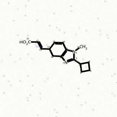 Cn1c(C2CCC2)nc2c1C=CC(/C=C/C(=O)O)C2